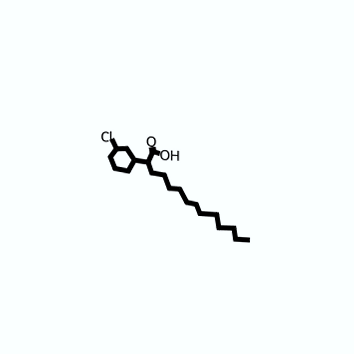 CCCCCCCCCCCCC(C(=O)O)C1CCCC(Cl)C1